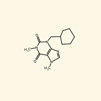 Cn1c(=O)c2c(ncn2C)n(CC2CCCCC2)c1=O